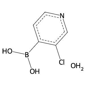 O.OB(O)c1ccncc1Cl